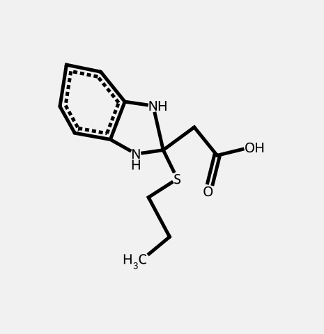 CCCSC1(CC(=O)O)Nc2ccccc2N1